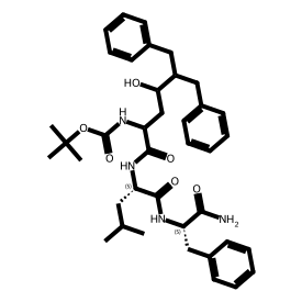 CC(C)C[C@H](NC(=O)C(CC(O)C(Cc1ccccc1)Cc1ccccc1)NC(=O)OC(C)(C)C)C(=O)N[C@@H](Cc1ccccc1)C(N)=O